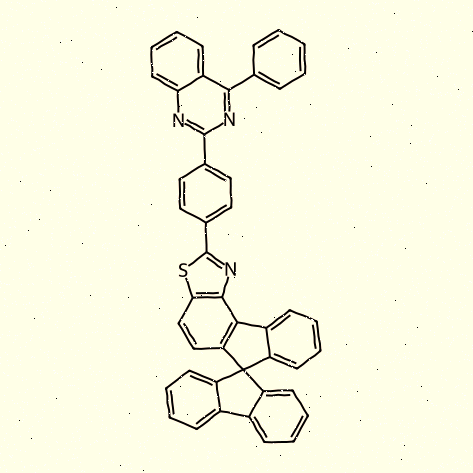 c1ccc(-c2nc(-c3ccc(-c4nc5c6c(ccc5s4)C4(c5ccccc5-c5ccccc54)c4ccccc4-6)cc3)nc3ccccc23)cc1